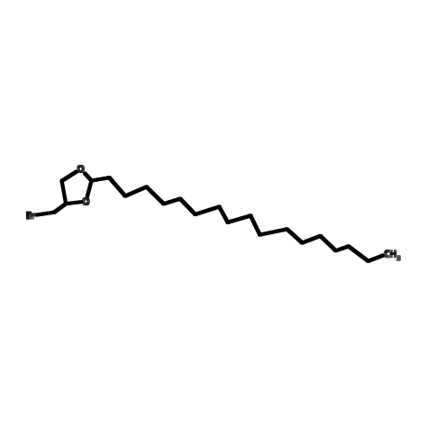 CCCCCCCCCCCCCCCCCC1OCC(CBr)O1